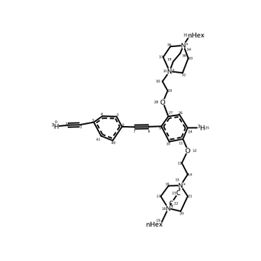 [3H]C#Cc1ccc(C#Cc2cc(OCC[N+]34CC[N+](CCCCCC)(CC3)CC4)c([3H])cc2OCC[N+]23CC[N+](CCCCCC)(CC2)CC3)cc1